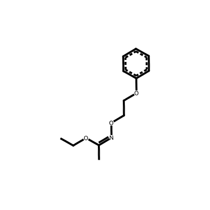 CCOC(C)=NOCCOc1ccccc1